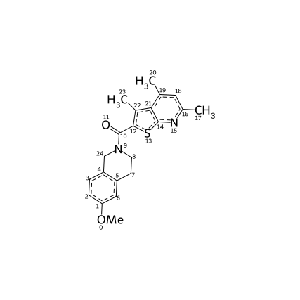 COc1ccc2c(c1)CCN(C(=O)c1sc3nc(C)cc(C)c3c1C)C2